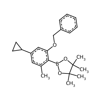 Cc1cc(C2CC2)cc(OCc2ccccc2)c1B1OC(C)(C)C(C)(C)O1